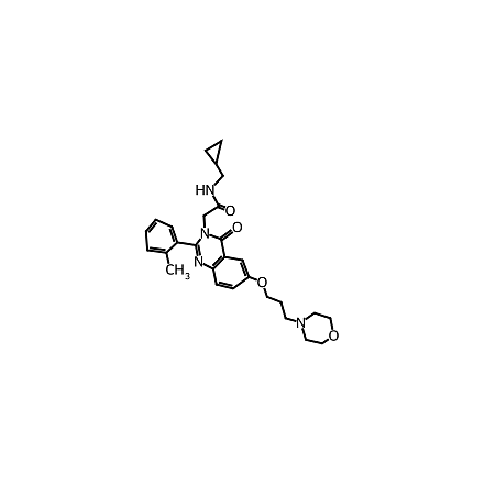 Cc1ccccc1-c1nc2ccc(OCCCN3CCOCC3)cc2c(=O)n1CC(=O)NCC1CC1